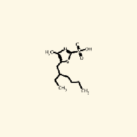 CCCCC(CC)Cc1sc(S(=O)(=O)O)nc1C